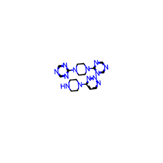 c1cc(N2CCNCC2)nnn1.c1ncnc(N2CCN(c3ncncn3)CC2)n1